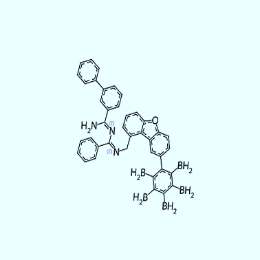 Bc1c(B)c(B)c(-c2ccc3oc4cccc(C/N=C(\N=C(/N)c5cccc(-c6ccccc6)c5)c5ccccc5)c4c3c2)c(B)c1B